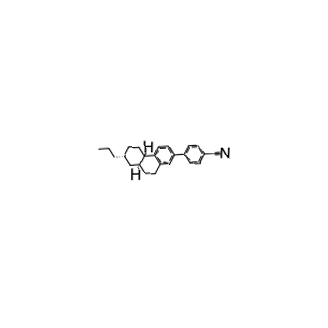 CCC[C@@H]1CC[C@@H]2c3ccc(-c4ccc(C#N)cc4)cc3CC[C@H]2C1